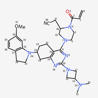 C=CC(=O)N1CCN(c2nc(N3CC(N(C)C)C3)nc3c2CCC(N2CCc4ccc(OC)cc42)C3)CC1CC#N